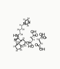 O=C(O)C=CC(=O)O.O=C(O)C=CC(=O)O.c1cc2c3c(cccc3c1)C(NCCCCn1ccnc1)=N2